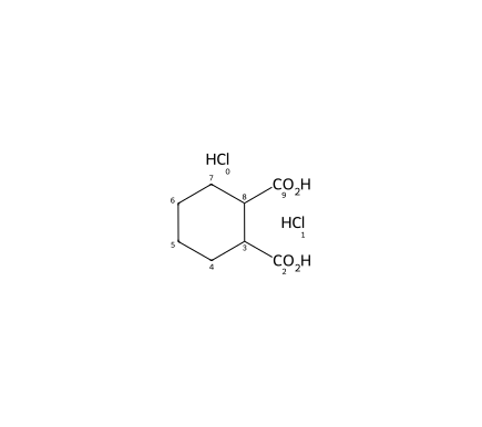 Cl.Cl.O=C(O)C1CCCCC1C(=O)O